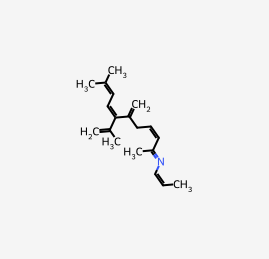 C=C(C)/C(=C/C=C(C)C)C(=C)C\C=C/C(C)=N/C=C\C